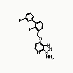 Nn1nnc2c(OCc3cccc(-c4cccc(F)c4)c3F)ccnc21